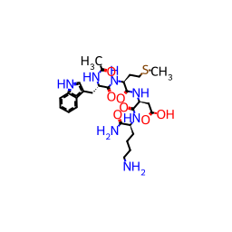 CSCC[C@H](NC(=O)[C@H](Cc1c[nH]c2ccccc12)NC(C)=O)C(=O)N[C@@H](CC(=O)O)C(=O)N[C@@H](CCCCN)C(N)=O